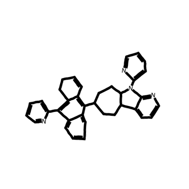 C1=Cc2c(c(-c3ccccn3)c3ccccc3c2C2CCC3c4cccnc4N(c4ccccn4)C3CC2)CC1